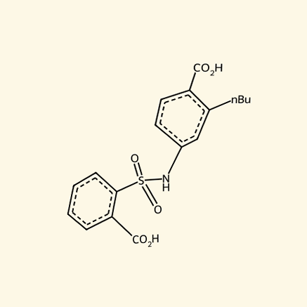 CCCCc1cc(NS(=O)(=O)c2ccccc2C(=O)O)ccc1C(=O)O